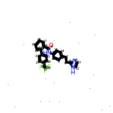 O=C(Nc1ccc(CCc2ncc[nH]2)cc1)c1ccccc1-c1ccc(C(F)(F)F)cc1